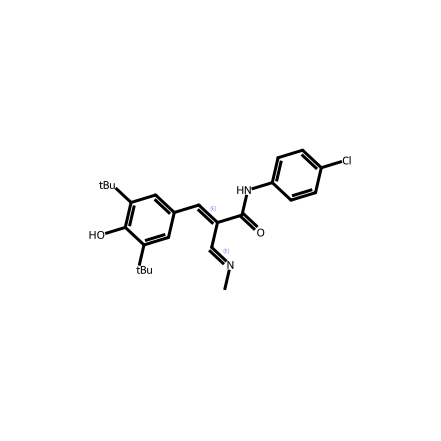 C/N=C/C(=C\c1cc(C(C)(C)C)c(O)c(C(C)(C)C)c1)C(=O)Nc1ccc(Cl)cc1